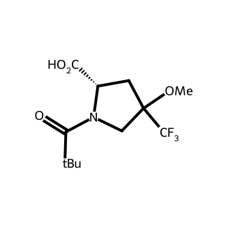 COC1(C(F)(F)F)C[C@@H](C(=O)O)N(C(=O)C(C)(C)C)C1